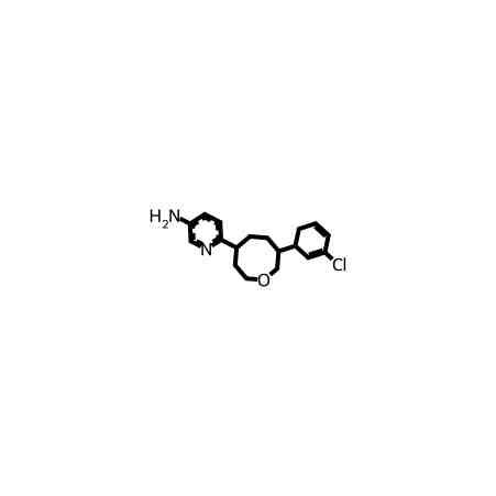 Nc1ccc(C2CCOCC(C3C=C(Cl)C=CC3)CC2)nc1